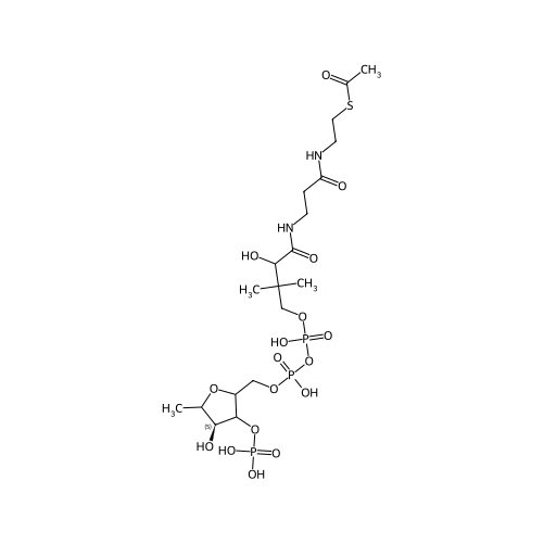 CC(=O)SCCNC(=O)CCNC(=O)C(O)C(C)(C)COP(=O)(O)OP(=O)(O)OCC1OC(C)[C@H](O)C1OP(=O)(O)O